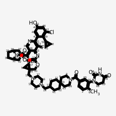 Cc1ccc(C(=O)N2CCC3(CCC(CN4CCN(CC5(COc6nc(N7CC8CCC(C7)N8C(=O)OC(C)(C)C)c7cnc(-c8cc(O)cc(Cl)c8C8CC8)c(F)c7n6)CC5)CC4)CC3)CC2)cc1N1CCC(=O)NC1=O